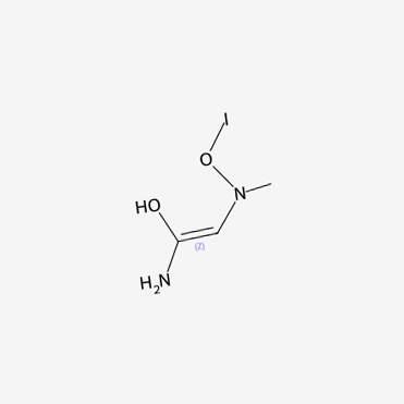 CN(/C=C(/N)O)OI